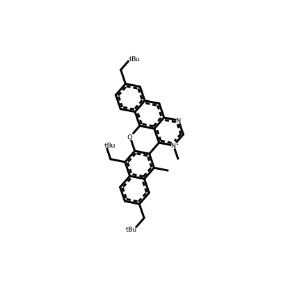 Cc1c2c(c(CC(C)(C)C)c3ccc(CC(C)(C)C)cc13)Oc1c3ccc(CC(C)(C)C)cc3cc3nc[n+](C)c-2c13